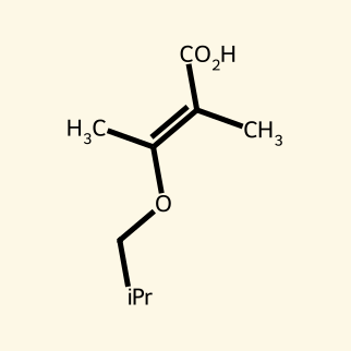 C/C(OCC(C)C)=C(/C)C(=O)O